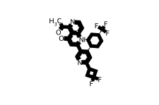 CC(=O)c1nccc2[nH]c(-c3cnc(C4CC(F)(F)C4)cc3[C@H]3CC[C@@H](C(F)(F)F)CC3)cc(=O)c12